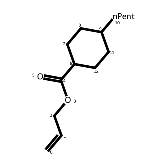 C=CCOC(=O)C1CCC(CCCCC)CC1